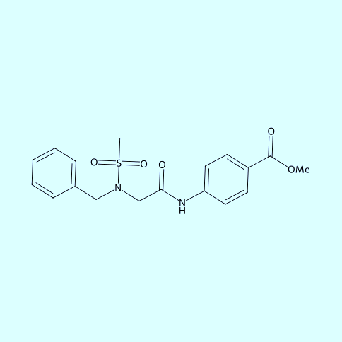 COC(=O)c1ccc(NC(=O)CN(Cc2ccccc2)S(C)(=O)=O)cc1